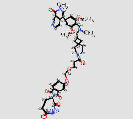 COc1cc(-c2cn(C)c(=O)c3cnccc23)cc(OC)c1CN(C)CC1CC2(CCN(C(=O)CCOCCOc3ccc4c(c3)C(=O)N(C3CCC(=O)NC3=O)C4=O)CC2)C1